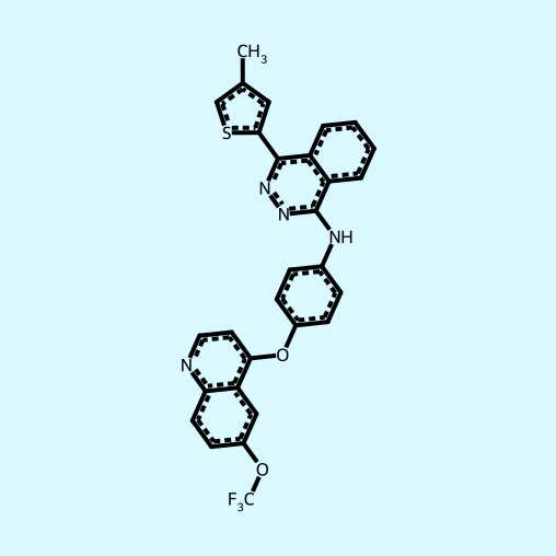 Cc1csc(-c2nnc(Nc3ccc(Oc4ccnc5ccc(OC(F)(F)F)cc45)cc3)c3ccccc23)c1